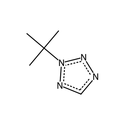 CC(C)(C)n1ncnn1